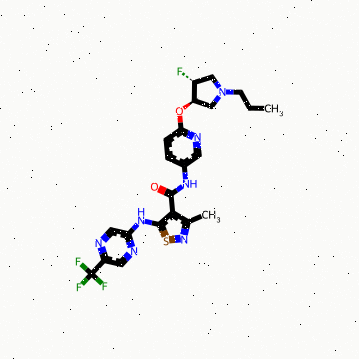 CCCN1C[C@@H](F)[C@H](Oc2ccc(NC(=O)c3c(C)nsc3Nc3cnc(C(F)(F)F)cn3)cn2)C1